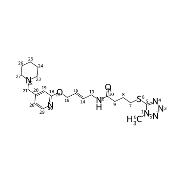 Cn1nnnc1SCCCC(=O)NCC=CCOc1cc(CN2CCCCC2)ccn1